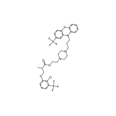 CC(COc1cccc(C(F)(F)F)c1Cl)C(=O)OCCN1CCN(CCCN2c3ccccc3Sc3ccc(C(F)(F)F)cc32)CC1